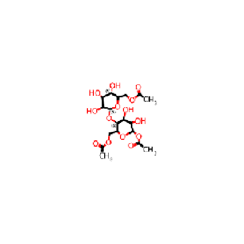 CC(=O)OCC1O[C@@H](O[C@@H]2C(COC(C)=O)OC(OC(C)=O)C(O)C2O)C(O)C(O)[C@@H]1O